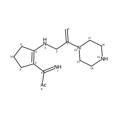 C=C(CNC1=C(C(=N)C(C)=O)CCC1)N1CCNCC1